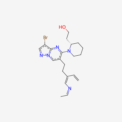 C=C/C(=C\N=C/C)CCc1cn2ncc(Br)c2nc1N1CCCC[C@H]1CCO